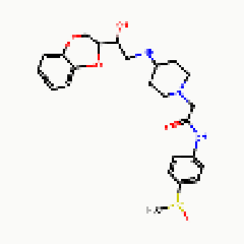 C[S+]([O-])c1ccc(NC(=O)CN2CCC(NCC(O)C3COc4ccccc4O3)CC2)cc1